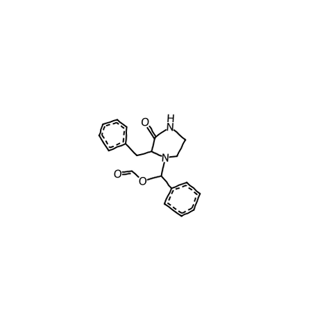 O=COC(c1ccccc1)N1CCNC(=O)C1Cc1ccccc1